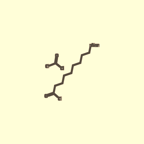 CCCCCCCCCCCCCCCCCC(=O)Cl.O=C(Cl)Cl